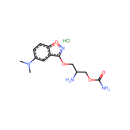 CN(C)c1ccc2onc(OCC(N)COC(N)=O)c2c1.Cl